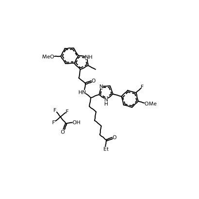 CCC(=O)CCCCCC(NC(=O)Cc1c(C)[nH]c2ccc(OC)cc12)c1ncc(-c2ccc(OC)c(F)c2)[nH]1.O=C(O)C(F)(F)F